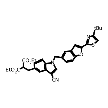 CCOC(=O)C(Cc1ccc2c(c1)c(C#N)cn2Cc1ccc2oc(-c3nc(C(C)(C)C)cs3)cc2c1)C(=O)OCC